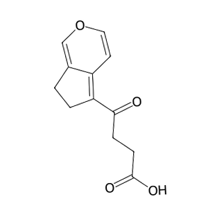 O=C(O)CCC(=O)C1=C2C=COC=C2CC1